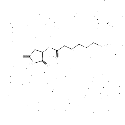 CC(=O)NCCCCCC(=O)OC1CC(=O)NC1=O